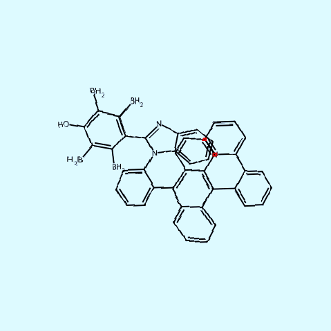 Bc1c(B)c(-c2nc3ccccc3n2-c2ccccc2-c2c3ccccc3c(-c3ccccc3-c3ccccn3)c3ccccc23)c(B)c(B)c1O